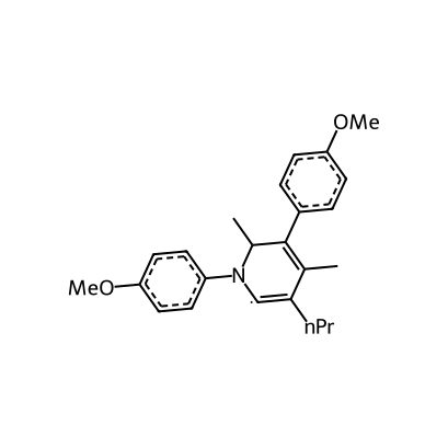 CCCC1=[C]N(c2ccc(OC)cc2)C(C)C(c2ccc(OC)cc2)=C1C